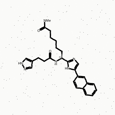 CNC(=O)CCCCC[C@H](NC(=O)CCc1cn[nH]c1)c1ncc(-c2ccc3ccccc3c2)[nH]1